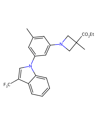 CCOC(=O)C1(C)CN(c2cc(C)cc(-n3cc(C(F)(F)F)c4ccccc43)c2)C1